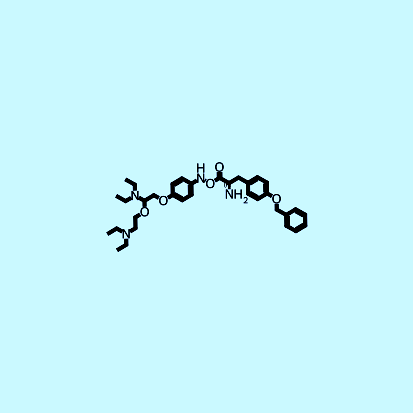 CCN(CC)CCOC(COc1ccc(NOC(=O)[C@H](N)Cc2ccc(OCc3ccccc3)cc2)cc1)N(CC)CC